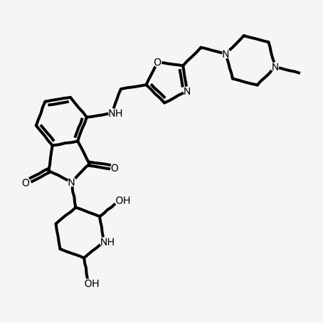 CN1CCN(Cc2ncc(CNc3cccc4c3C(=O)N(C3CCC(O)NC3O)C4=O)o2)CC1